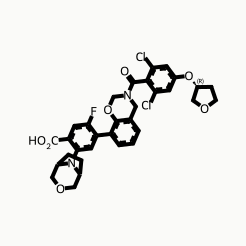 O=C(O)c1cc(F)c(-c2cccc3c2OCN(C(=O)c2c(Cl)cc(O[C@@H]4CCOC4)cc2Cl)C3)cc1N1C2CCC1COC2